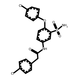 NS(=O)(=O)c1cc(NC(=O)Cc2ccc(Cl)cc2)ccc1Oc1ccc(Cl)cc1